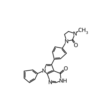 CN1CCN(c2ccc(-c3cn(-c4ccccc4)c4nc[nH]c(=O)c34)cc2)C1=O